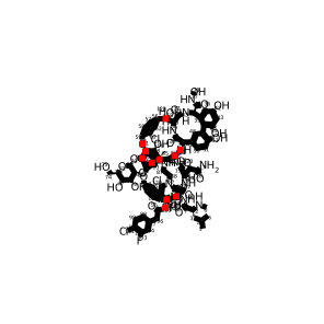 CN[C@H](CC(C)C)C(=O)N[C@H]1C(=O)N[C@@H](CC(N)=O)C(=O)N[C@H]2C(=O)N[C@H]3C(=O)N[C@H](C(=O)N[C@@H](C(=O)NO)c4cc(O)cc(O)c4-c4cc3ccc4O)[C@H](O)c3ccc(c(Cl)c3)Oc3cc2cc(c3O[C@@H]2O[C@H](CO)[C@@H](O)[C@H](O)[C@H]2O[C@H]2C[C@](C)(NCCn3ccc(NC(=O)Cc4ccc(Cl)c(F)c4)nc3=O)[C@H](O)[C@H](C)O2)Oc2ccc(cc2Cl)[C@H]1O